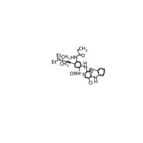 C=CC(=O)Nc1cc(Nc2ncc(Cl)c(Nc3ccccc3C(C)C)n2)c(OC)cc1C#CC(C)(C)N(CC)CC